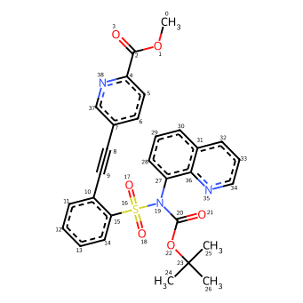 COC(=O)c1ccc(C#Cc2ccccc2S(=O)(=O)N(C(=O)OC(C)(C)C)c2cccc3cccnc23)cn1